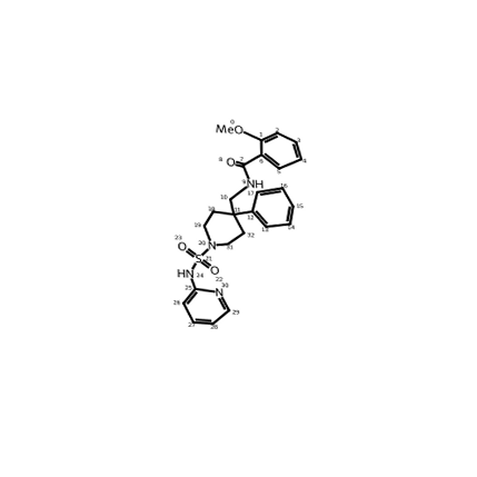 COc1ccccc1C(=O)NCC1(c2ccccc2)CCN(S(=O)(=O)Nc2ccccn2)CC1